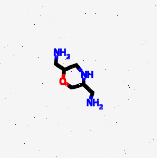 NCC1COC(CN)CN1